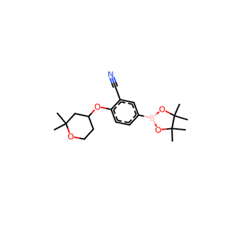 CC1(C)CC(Oc2ccc(B3OC(C)(C)C(C)(C)O3)cc2C#N)CCO1